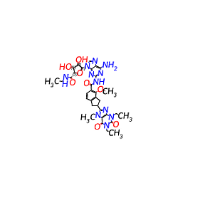 CCNC(=O)[C@H]1O[C@@H](n2cnc3c(N)nc(NC(=O)c4ccc5c(c4OC)CC(c4nc6c(c(=O)n(CC)c(=O)n6CC)n4C)C5)nc32)[C@H](O)[C@@H]1O